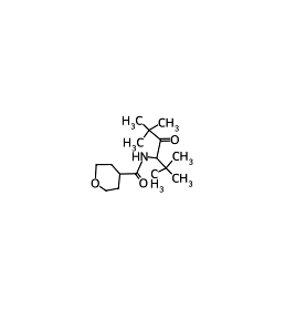 CC(C)(C)C(=O)C(NC(=O)C1CCOCC1)C(C)(C)C